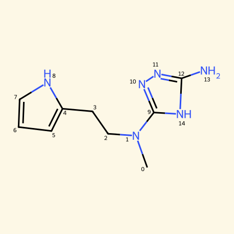 CN(CCc1ccc[nH]1)c1nnc(N)[nH]1